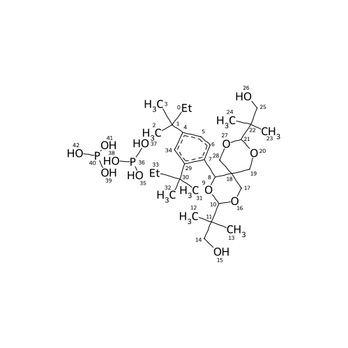 CCC(C)(C)c1ccc(C2OC(C(C)(C)CO)OCC23COC(C(C)(C)CO)OC3)c(C(C)(C)CC)c1.OP(O)O.OP(O)O